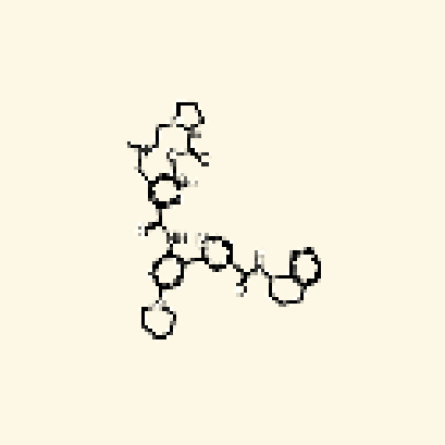 CN(CCN1CCC[C@H]1C(=O)OC(C)(C)C)Cc1cccc(C(=O)Nc2ccc(N3CCCCC3)cc2-c2cc(C(=O)NC3CCCc4ccccc43)ccn2)c1